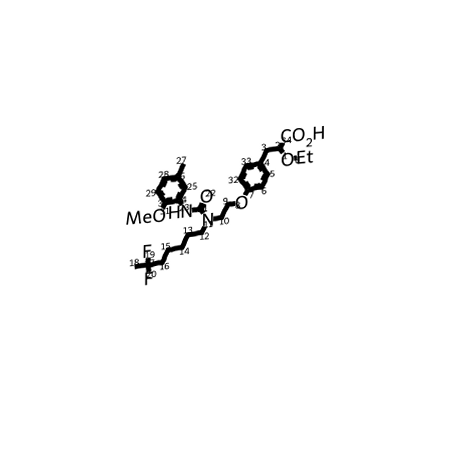 CCOC(Cc1ccc(OCCN(CCCCCC(C)(F)F)C(=O)Nc2cc(C)ccc2OC)cc1)C(=O)O